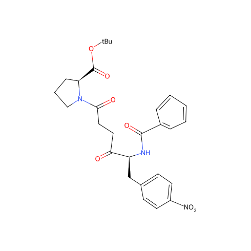 CC(C)(C)OC(=O)[C@@H]1CCCN1C(=O)CCC(=O)[C@H](Cc1ccc([N+](=O)[O-])cc1)NC(=O)c1ccccc1